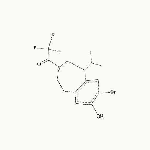 CC(C)C1CN(C(=O)C(F)(F)F)CCc2cc(O)c(Br)cc21